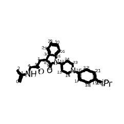 C=C(C)NCC(=O)CC1C(=O)N(C2CCN(C3CCC(C(C)C)CC3)CC2)c2ccccc21